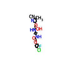 Cc1cc(OCC(O)NC23CC(NC(=O)COc4ccc(Cl)c(F)c4)(C2)C3)cnc1C#N